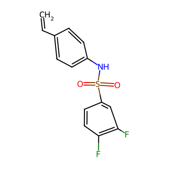 C=Cc1ccc(NS(=O)(=O)c2ccc(F)c(F)c2)cc1